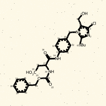 CCCCc1nc(Cl)c(CO)n1Cc1ccc(NC(=O)C(CC(=O)O)NC(=O)OCc2ccccc2)cc1